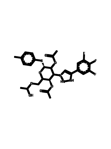 CC(=O)OC1C(N2C=C(c3cc(F)c(F)c(F)c3)NN2)[C@@H](OC(C)=O)C(COC(C)O)O[C@@H]1Sc1ccc(C)cc1